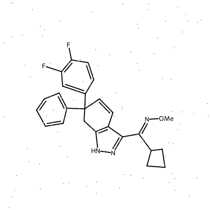 CON=C(c1n[nH]c2c1C=CC(c1ccccc1)(c1ccc(F)c(F)c1)C2)C1CCC1